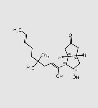 CC=CCCC(C)(C)CC=C(O)[C@@H]1[C@@H]2CC(=O)C[C@@H]2C[C@@H]1O